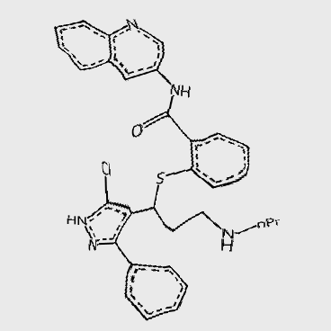 CCCNCCC(Sc1ccccc1C(=O)Nc1cnc2ccccc2c1)c1c(-c2ccccc2)n[nH]c1Cl